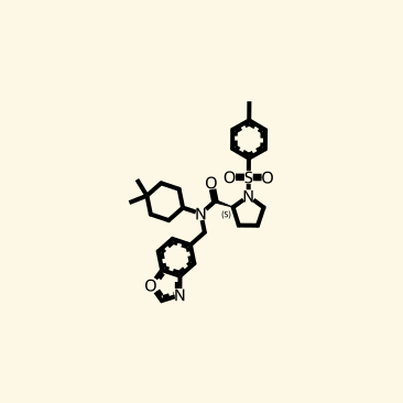 Cc1ccc(S(=O)(=O)N2CCC[C@H]2C(=O)N(Cc2ccc3ocnc3c2)C2CCC(C)(C)CC2)cc1